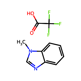 Cn1cnc2ccccc21.O=C(O)C(F)(F)F